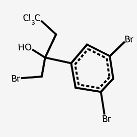 OC(CBr)(CC(Cl)(Cl)Cl)c1cc(Br)cc(Br)c1